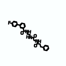 O=C(CCc1ccccc1)NCC(=O)NCCNC(=O)c1cccc(-c2ccc(F)cc2)c1